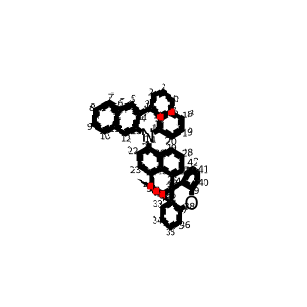 c1ccc(-c2cc3ccccc3cc2N(c2ccccc2)c2ccc3c4c(cccc24)C2(c4ccccc4Oc4ccccc42)c2ccccc2-3)cc1